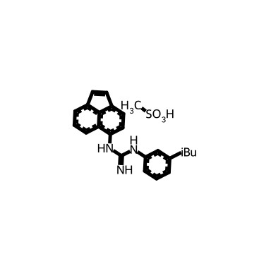 CCC(C)c1cccc(NC(=N)Nc2ccc3c4c(cccc24)C=C3)c1.CS(=O)(=O)O